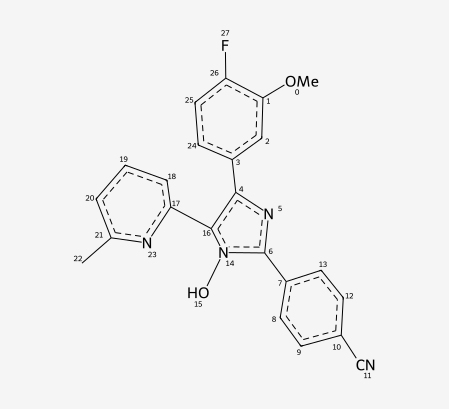 COc1cc(-c2nc(-c3ccc(C#N)cc3)n(O)c2-c2cccc(C)n2)ccc1F